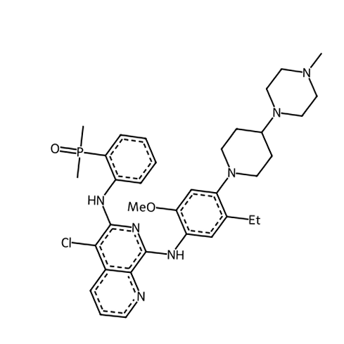 CCc1cc(Nc2nc(Nc3ccccc3P(C)(C)=O)c(Cl)c3cccnc23)c(OC)cc1N1CCC(N2CCN(C)CC2)CC1